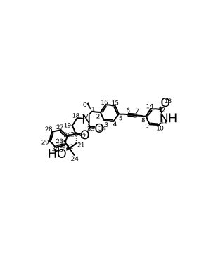 C[C@@H](c1ccc(C#Cc2cc[nH]c(=O)c2)cc1)N1CC[C@](CC(C)(C)O)(c2ccccc2)OC1=O